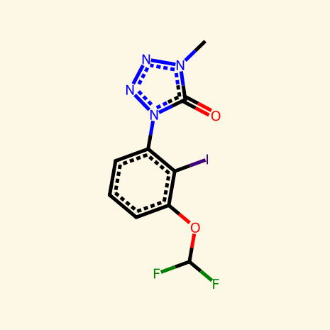 Cn1nnn(-c2cccc(OC(F)F)c2I)c1=O